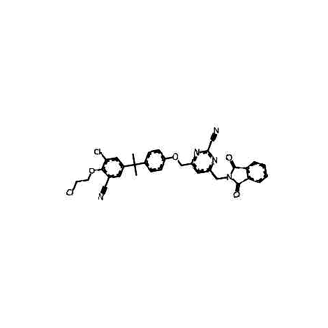 CC(C)(c1ccc(OCc2cc(CN3C(=O)c4ccccc4C3=O)nc(C#N)n2)cc1)c1cc(Cl)c(OCCCl)c(C#N)c1